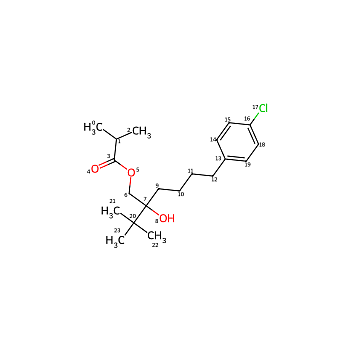 CC(C)C(=O)OCC(O)(CCCCc1ccc(Cl)cc1)C(C)(C)C